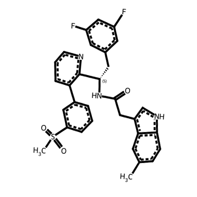 Cc1ccc2[nH]cc(CC(=O)N[C@@H](Cc3cc(F)cc(F)c3)c3ncccc3-c3cccc(S(C)(=O)=O)c3)c2c1